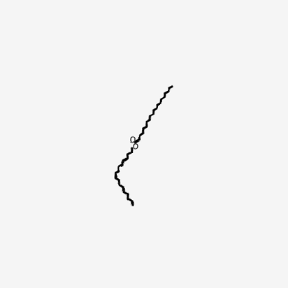 CCCCCCCC/C=C\CCCCCCCCOC(=O)CCCCCCCCCCCCCCCCCCC